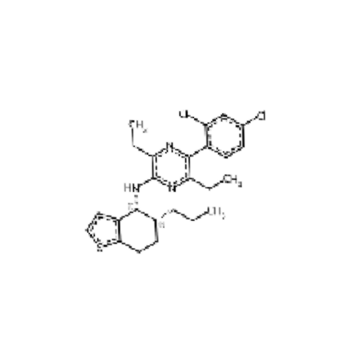 CCC[C@@H]1CCc2sccc2[C@@H]1Nc1nc(CC)c(-c2ccc(Cl)cc2Cl)nc1CC